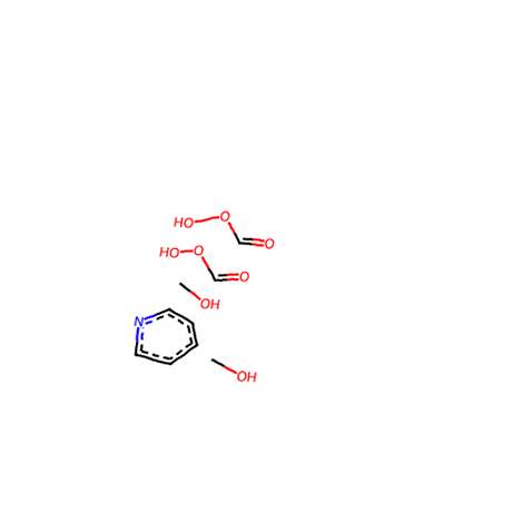 CO.CO.O=COO.O=COO.c1ccncc1